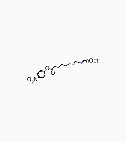 CCCCCCCC/C=C/CCCCCCCC(=O)Oc1ccc([N+](=O)[O-])cc1